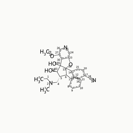 CCN(C)C[C@H]1C(c2ccccc2)C2(c3ccc(C#N)cc3)Oc3cncc(OC)c3C2(O)[C@@H]1O